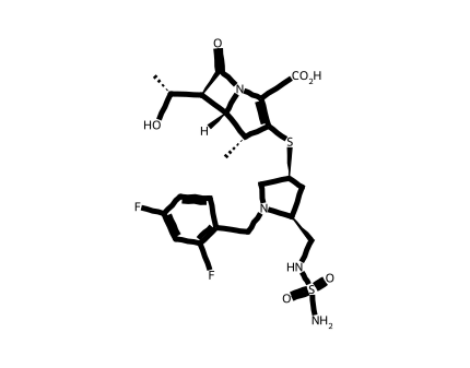 C[C@@H](O)[C@H]1C(=O)N2C(C(=O)O)=C(S[C@H]3C[C@@H](CNS(N)(=O)=O)N(Cc4ccc(F)cc4F)C3)[C@H](C)[C@H]12